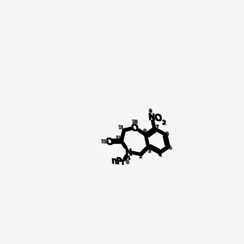 CCCN1Cc2cccc([N+](=O)[O-])c2OCC1=O